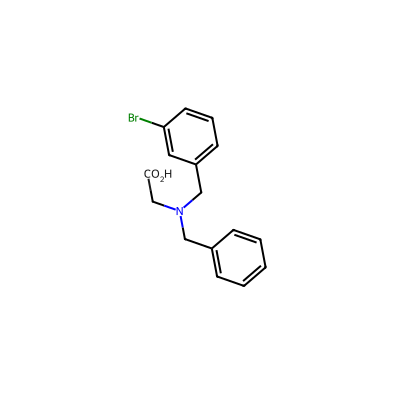 O=C(O)CN(Cc1ccccc1)Cc1cccc(Br)c1